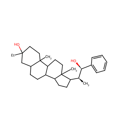 CCC1(O)CCC2(C)C(CCC3C2CCC2(C)C3CCC2[C@H](C)[C@@H](O)c2ccccc2)C1